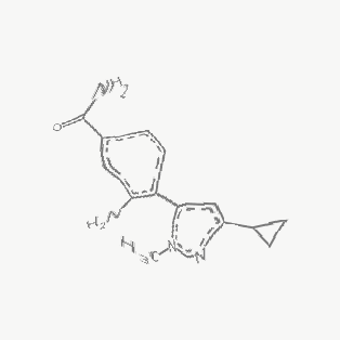 Cn1nc(C2CC2)cc1-c1ccc(C(N)=O)cc1N